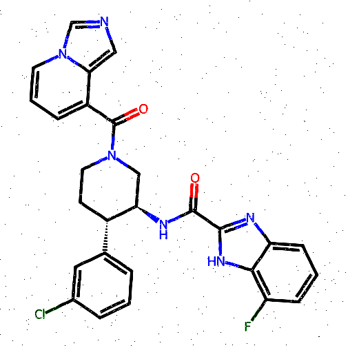 O=C(N[C@@H]1CN(C(=O)c2cccn3cncc23)CC[C@H]1c1cccc(Cl)c1)c1nc2cccc(F)c2[nH]1